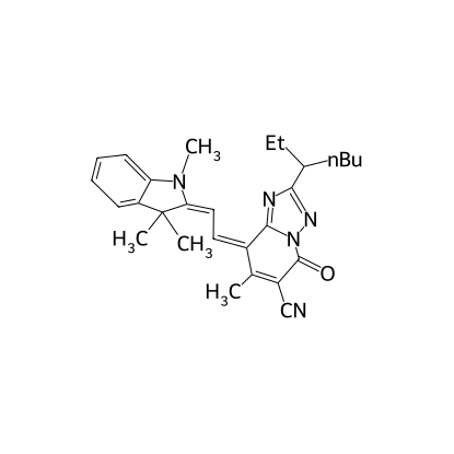 CCCCC(CC)c1nc2/c(=C\C=C3\N(C)c4ccccc4C3(C)C)c(C)c(C#N)c(=O)n2n1